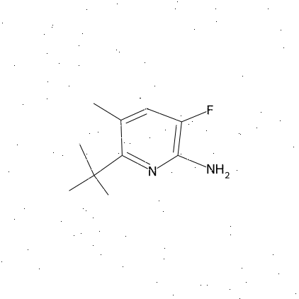 Cc1cc(F)c(N)nc1C(C)(C)C